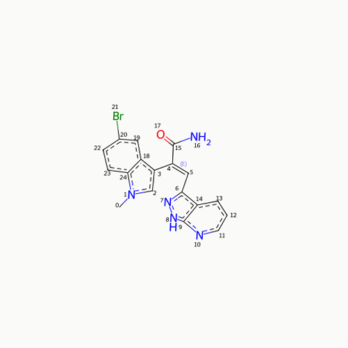 Cn1cc(/C(=C\c2n[nH]c3ncccc23)C(N)=O)c2cc(Br)ccc21